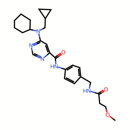 COCCC(=O)NCc1ccc(NC(=O)c2cc(N(CC3CC3)C3CCCCC3)ncn2)cc1